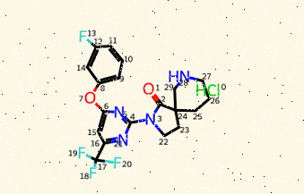 Cl.O=C1N(c2nc(Oc3cccc(F)c3)cc(C(F)(F)F)n2)CCC12CCCNC2